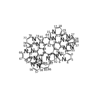 C1=CC2N(C=C1)C=CN2c1c2c(c(N3C=CN4C=CC=CC43)c(N3C=CN4C=CC=CC43)c1N1C=CN3C=CC=CC31)-c1ccccc1-c1c3c(c(N4C=CN5C=CC=CC54)c(N4C=CN5C=CC=CC54)c1N1C=CN4C=CC=CC41)N1C=CN4C=CC(CC41)N1CC=NC2=C31